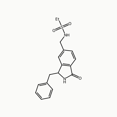 CCS(=O)(=O)NCc1ccc2c(c1)C(Cc1ccccc1)NC2=O